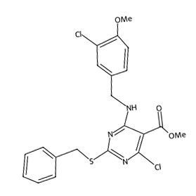 COC(=O)c1c(Cl)nc(SCc2ccccc2)nc1NCc1ccc(OC)c(Cl)c1